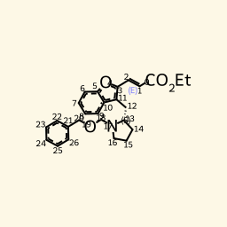 CCOC(=O)/C=C/c1oc2ccccc2c1C[C@@H]1CCCN1COCc1ccccc1